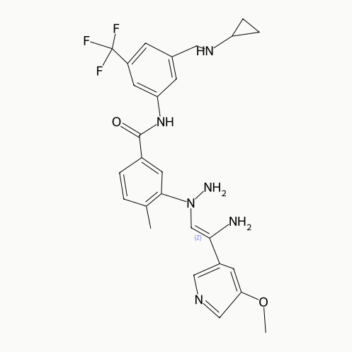 COc1cncc(/C(N)=C/N(N)c2cc(C(=O)Nc3cc(CNC4CC4)cc(C(F)(F)F)c3)ccc2C)c1